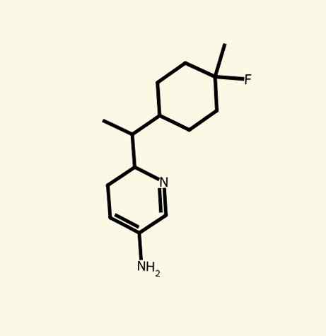 CC(C1CCC(C)(F)CC1)C1CC=C(N)C=N1